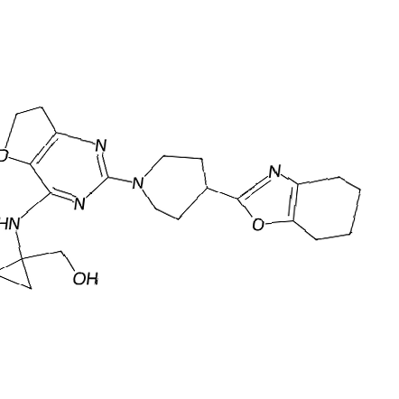 OCC1(Nc2nc(N3CCC(c4nc5c(o4)CCCC5)CC3)nc3c2OCC3)CC1